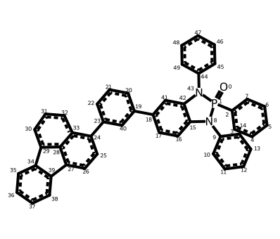 O=P1(c2ccccc2)N(c2ccccc2)c2ccc(-c3cccc(-c4ccc5c6c(cccc46)-c4ccccc4-5)c3)cc2N1c1ccccc1